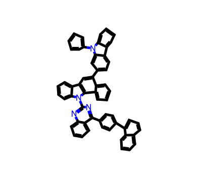 c1ccc(-n2c3ccccc3c3ccc(-c4cc5c6ccccc6n(-c6nc(-c7ccc(-c8cccc9ccccc89)cc7)c7ccccc7n6)c5c5ccccc45)cc32)cc1